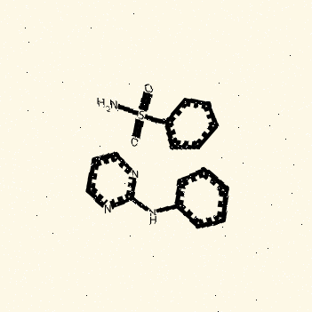 NS(=O)(=O)c1ccccc1.c1ccc(Nc2ncccn2)cc1